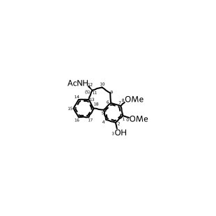 COc1c(O)cc2c(c1OC)CC[C@H](NC(C)=O)c1ccccc1-2